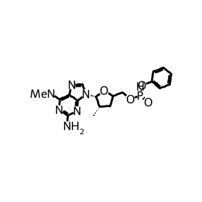 CNc1nc(N)nc2c1ncn2[C@@H]1OC(CO[PH](=O)Oc2ccccc2)C[C@@H]1C